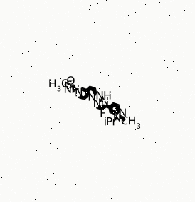 Cc1nc2ccc(-c3nc(Nc4ccc5c(n4)CCN(CCS(C)(=N)=O)C5)ncc3F)cc2n1C(C)C